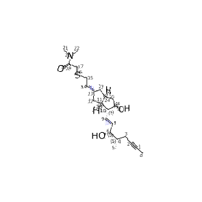 CC#CC[C@H](C)[C@H](O)/C=C/[C@@H]1[C@H]2C/C(=C/CSCC(=O)N(C)C)C[C@H]2C[C@H]1O